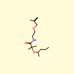 C=C(C)COCCNC(=O)C(C)(C)OC(C)CCC